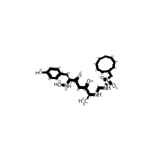 C[C@H](NCNS(=O)(=O)CC1CCCCCCCC1)C(=O)CC(=O)[C@H](Cc1ccc(O)cc1)NO